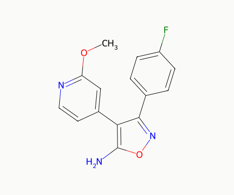 COc1cc(-c2c(-c3ccc(F)cc3)noc2N)ccn1